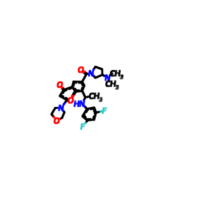 CC(Nc1cc(F)cc(F)c1)c1cc(C(=O)N2CCC(N(C)C)C2)cc2c(=O)cc(N3CCOCC3)oc12